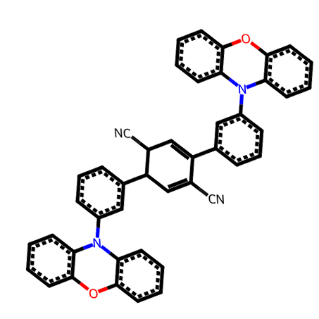 N#CC1=CC(c2cccc(N3c4ccccc4Oc4ccccc43)c2)C(C#N)C=C1c1cccc(N2c3ccccc3Oc3ccccc32)c1